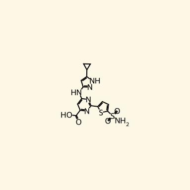 NS(=O)(=O)c1ccc(-c2nc(Nc3cc(C4CC4)[nH]n3)cc(C(=O)O)n2)s1